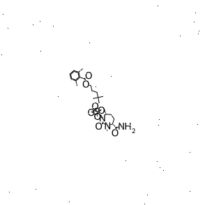 Cc1cccc(C)c1C(=O)OCCCC(C)(C)COS(=O)(=O)ON1C(=O)N(C)[C@H](C(N)=O)CC[C@@H]1C